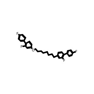 Fc1ccc(-c2ccc(CCCCCCCCOc3ccc(-c4ccc(F)cc4)c(F)c3)cc2F)cc1